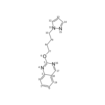 c1ccc2nc(OCCCCn3cccn3)ncc2c1